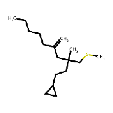 C=C(CCCCC)CC(C)(CCC1CC1)CSC